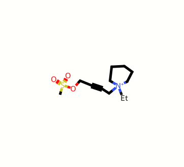 CC[N+]1(CC#CCOS(C)(=O)=O)CCCCC1